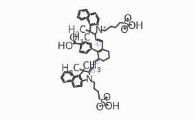 CC1(C)C(/C=C/C2=C(c3ccc(C(=O)O)cc3)C(=C/C=C3/N(CCCCS(=O)(=O)O)c4ccc5ccccc5c4C3(C)C)/CCC2)=[N+](CCCCS(=O)(=O)O)c2ccc3ccccc3c21